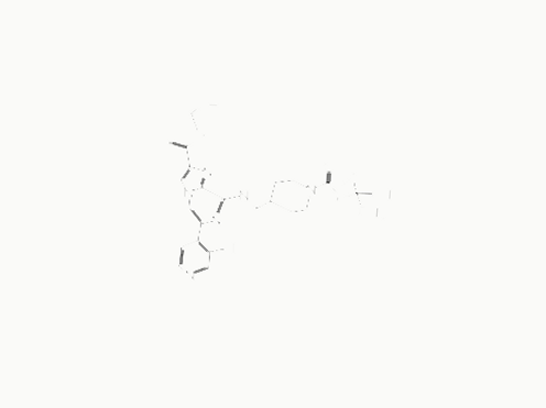 CCOC(=O)c1cn2cc(-c3ccncc3Cl)nc(NCC3CCN(C(=O)OC(C)(C)C)CC3)c2n1